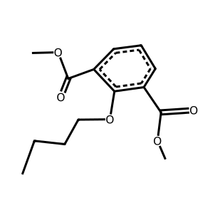 CCCCOc1c(C(=O)OC)cccc1C(=O)OC